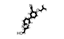 CC(C)COc1ccc(-c2ccc3nc(CO)cn3c2)cc1C#N